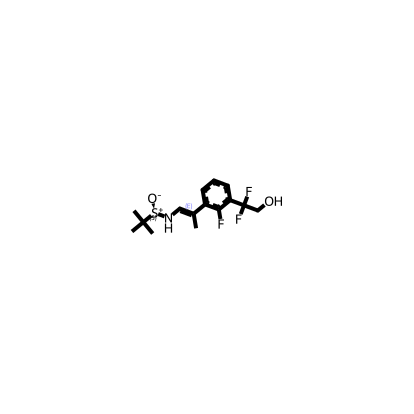 C/C(=C\N[S@+]([O-])C(C)(C)C)c1cccc(C(F)(F)CO)c1F